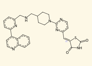 O=C1NC(=O)/C(=C/c2ccnc(N3CCC(CNCc4cccc(-c5ccnc6ccccc56)n4)CC3)n2)S1